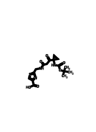 CC(C)(C)OC(=O)NC1(C(=O)CC(=O)NCc2nc(C(=O)O)cs2)CC1